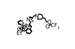 CCN(c1cccc2cc(-c3ncc(CN4CCC(CCOC(=O)C(F)(F)F)CC4)s3)[nH]c12)S(=O)(=O)c1cccs1